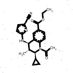 CCOC(=O)c1ccc2c(c1)[C@H](Nc1ccc(C#N)s1)[C@@H](C)[C@H](C1CC1)N2C(C)=O